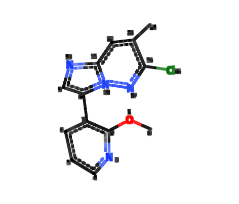 COc1ncccc1-c1cnc2cc(C)c(Cl)nn12